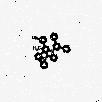 Cc1c(-c2cccc(C#N)c2)cc2c3c1-c1cccc4c5ccccc5n(c14)B3c1ccccc1N2c1cc(-c2ccccc2)cc(-c2ccccc2)c1